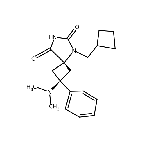 CN(C)[C@]1(c2ccccc2)C[C@@]2(C1)C(=O)NC(=O)N2CC1CCC1